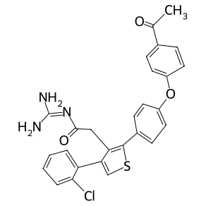 CC(=O)c1ccc(Oc2ccc(-c3scc(-c4ccccc4Cl)c3CC(=O)N=C(N)N)cc2)cc1